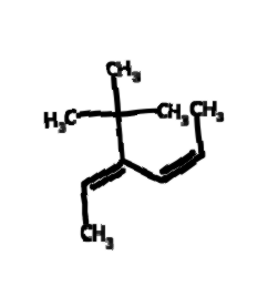 C/C=C\C(=C/C)C(C)(C)C